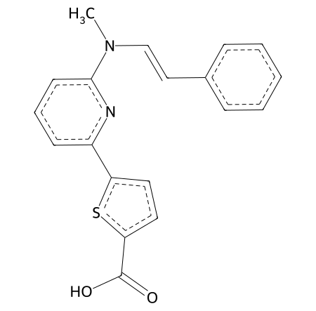 CN(C=Cc1ccccc1)c1cccc(-c2ccc(C(=O)O)s2)n1